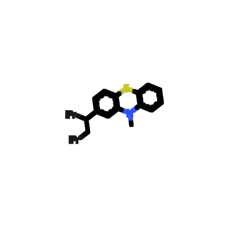 CC(C)CC(c1ccc2c(c1)N(C)c1ccccc1S2)C(C)C